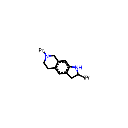 CC(C)C1Cc2cc3c(cc2N1)CN(C(C)C)CC3